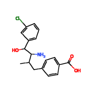 CC(Cc1ccc(C(=O)O)cc1)C(N)C(O)c1cccc(Cl)c1